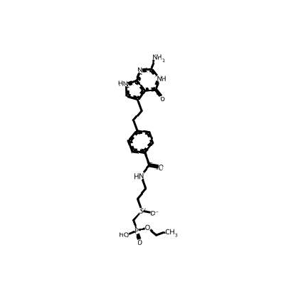 CCOP(=O)(O)C[S+]([O-])CCNC(=O)c1ccc(CCc2c[nH]c3nc(N)[nH]c(=O)c23)cc1